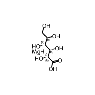 O=C(O)[C@H](O)[C@@H](O)[C@H](O)[C@H](O)CO.[MgH2]